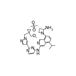 COCC1(Cn2cc(-c3nccc(Nc4cc5c(C(C)C)ccc(N6C[C@H](CS(C)(=O)=O)[C@H]6N)c5cn4)n3)cn2)CC1